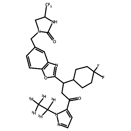 [2H]C([2H])([2H])C([2H])([2H])n1nccc1C(=O)CC(c1nc2cc(CN3CC(C(F)(F)F)NC3=O)ccc2o1)C1CCC(F)(F)CC1